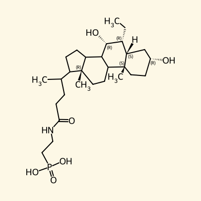 CC[C@H]1[C@@H](O)C2C3CCC(C(C)CCC(=O)NCCP(=O)(O)O)[C@@]3(C)CCC2[C@@]2(C)CC[C@@H](O)C[C@@H]12